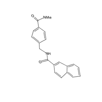 CNC(=O)c1ccc(CNC(=O)c2ccc3ccccc3c2)cc1